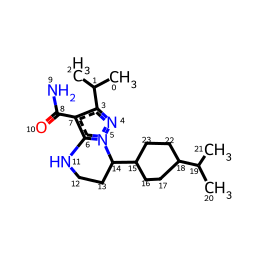 CC(C)c1nn2c(c1C(N)=O)NCCC2C1CCC(C(C)C)CC1